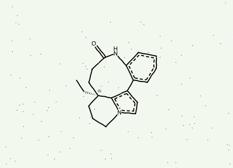 CC[C@@]12CCCn3ccc(c31)-c1ccccc1NC(=O)CC2